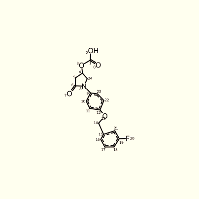 O=C(O)OC1CC(=O)N(c2ccc(OCc3cccc(F)c3)cc2)C1